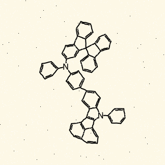 c1ccc(N(c2ccc(-c3ccc4c(c3)c3c(n4-c4ccccc4)-c4cccc5cccc-3c45)cc2)c2ccc3c(c2)C2(c4ccccc4-c4ccccc42)c2ccccc2-3)cc1